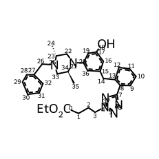 CCOC(=O)CCCn1nnc(-c2ccccc2Cc2cc(O)cc(N3C[C@@H](C)N(Cc4ccccc4)C[C@@H]3C)c2)n1